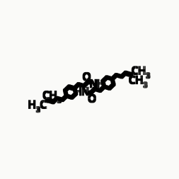 CC(C)=CCCC1CC=C(CC2NC(=O)C(CC3CCC(CCC=C(C)C)CC3)NC2=O)CC1